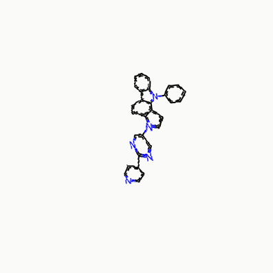 c1ccc(-n2c3ccccc3c3ccc4c(ccn4-c4cnc(-c5ccncc5)nc4)c32)cc1